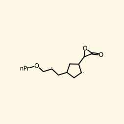 CCCOC[CH]CC1C[CH]C(C2OC2=O)C1